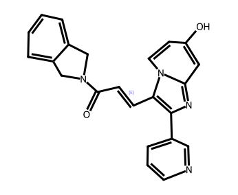 O=C(/C=C/c1c(-c2cccnc2)nc2cc(O)ccn12)N1Cc2ccccc2C1